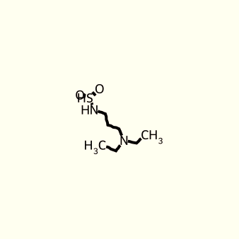 CCN(CC)CCCN[SH](=O)=O